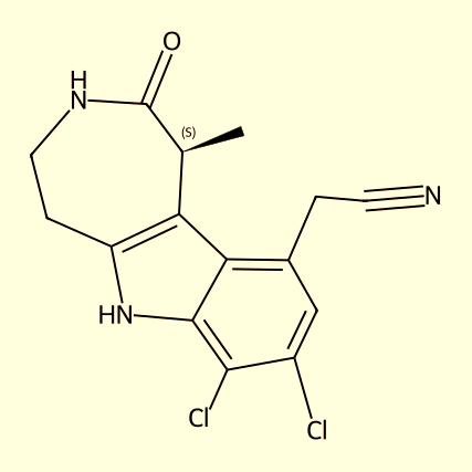 C[C@@H]1C(=O)NCCc2[nH]c3c(Cl)c(Cl)cc(CC#N)c3c21